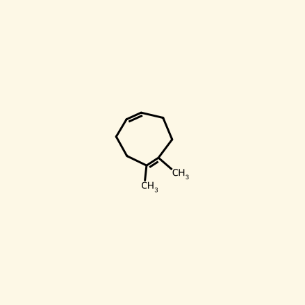 CC1=C(C)CCC=CCC1